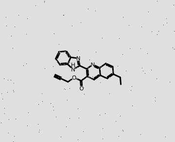 C#CCOC(=O)c1cc2cc(CC)ccc2nc1-c1nc2ccccc2[nH]1